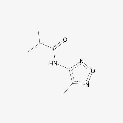 Cc1nonc1NC(=O)C(C)C